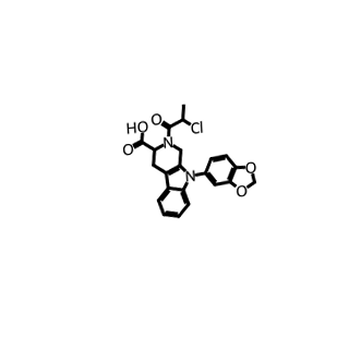 CC(Cl)C(=O)N1Cc2c(c3ccccc3n2-c2ccc3c(c2)OCO3)CC1C(=O)O